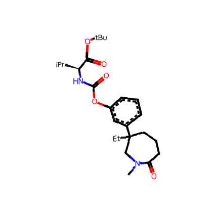 CCC1(c2cccc(OC(=O)N[C@H](C(=O)OC(C)(C)C)C(C)C)c2)CCCC(=O)N(C)C1